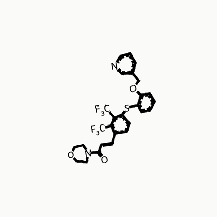 O=C(C=Cc1ccc(Sc2ccccc2OCc2cccnc2)c(C(F)(F)F)c1C(F)(F)F)N1CCOCC1